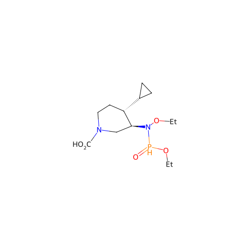 CCON([C@H]1CN(C(=O)O)CC[C@@H]1C1CC1)[PH](=O)OCC